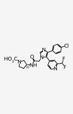 O=C(Cn1cnc(-c2ccc(Cl)cc2)c1-c1ccnc(C(F)F)c1)N[C@H]1CCN(C(=O)O)C1